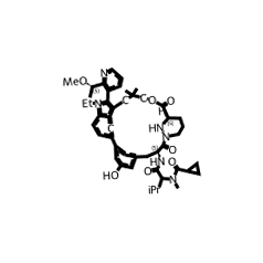 CCn1c(-c2cccnc2[C@H](C)OC)c2c3cc(ccc31)-c1cc(O)cc(c1)C[C@H](NC(=O)C(C(C)C)N(C)C(=O)C1CC1)C(=O)N1CCC[C@H](N1)C(=O)OCC(C)(C)C2